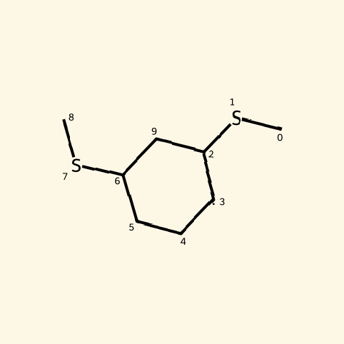 CSC1[CH]CCC(SC)C1